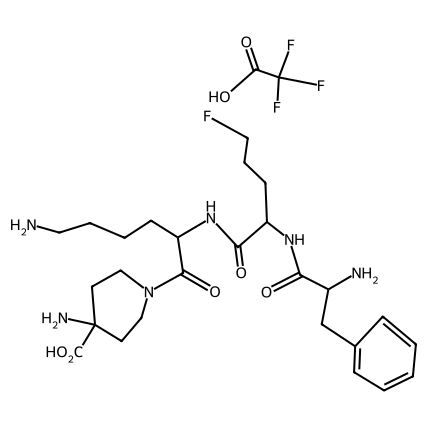 NCCCCC(NC(=O)C(CCCF)NC(=O)C(N)Cc1ccccc1)C(=O)N1CCC(N)(C(=O)O)CC1.O=C(O)C(F)(F)F